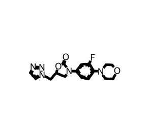 O=C1OC(Cn2ccnn2)CN1c1ccc(N2CCOCC2)c(F)c1